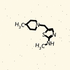 CNc1ncc(CN2CCC(C)CC2)s1